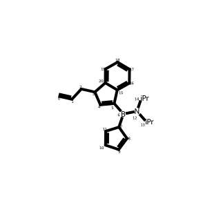 C=CCC1C=C(B(C2C=CC=C2)N(C(C)C)C(C)C)c2ccccc21